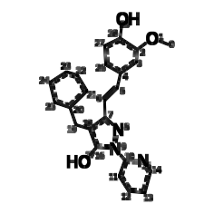 COc1cc(C=Cc2nn(-c3ccccn3)c(O)c2Cc2ccccc2)ccc1O